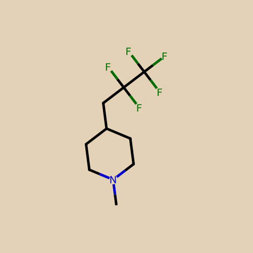 CN1CCC(CC(F)(F)C(F)(F)F)CC1